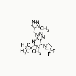 Cn1nncc1Cn1nnc2c(N3CCC(F)(F)C3)nc(C(C)(C)C)nc21